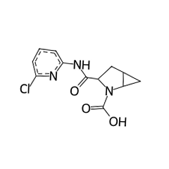 O=C(Nc1cccc(Cl)n1)C1CC2CC2N1C(=O)O